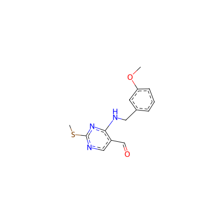 COc1cccc(CNc2nc(SC)ncc2C=O)c1